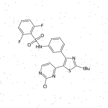 CC(C)(C)c1nc(-c2cccc(NS(=O)(=O)c3c(F)cccc3F)c2)c(-c2ccnc(Cl)n2)s1